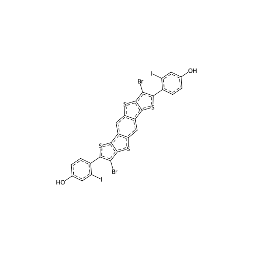 Oc1ccc(-c2sc3c(sc4cc5c(cc43)sc3c(Br)c(-c4ccc(O)cc4I)sc35)c2Br)c(I)c1